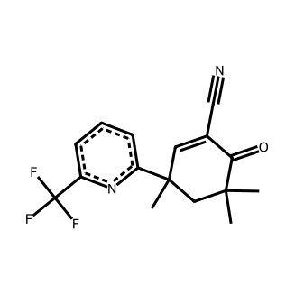 CC1(C)CC(C)(c2cccc(C(F)(F)F)n2)C=C(C#N)C1=O